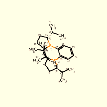 CC(C)=C1CC[C@H](C(C)C)P1c1ccccc1P1[C@@H](C(C)C)CC[C@@H]1C(C)C